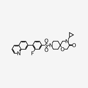 O=C1COC2(CCN(S(=O)(=O)c3ccc(-c4ccc5cccnc5c4)c(F)c3)CC2)CN1C1CC1